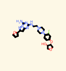 Nc1nc(NCCN2CCN(c3ccc(O[C@@H]4COC[C@H]4O)cc3F)CC2)nc2cc(-c3ccco3)nn12